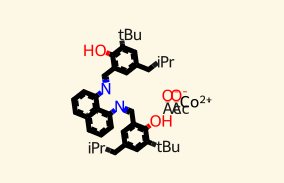 CC(=O)[O-].CC(=O)[O-].CC(C)Cc1cc(C=Nc2cccc3cccc(N=Cc4cc(CC(C)C)cc(C(C)(C)C)c4O)c23)c(O)c(C(C)(C)C)c1.[Co+2]